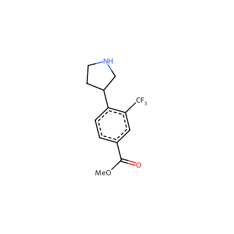 COC(=O)c1ccc(C2CCNC2)c(C(F)(F)F)c1